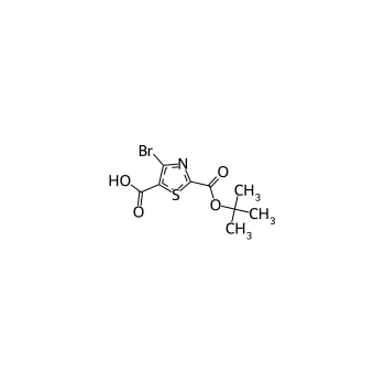 CC(C)(C)OC(=O)c1nc(Br)c(C(=O)O)s1